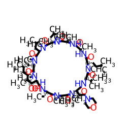 CCCC[C@@H](C)[C@@H](O)[C@H]1C(=O)N[C@@H](CC)C(=O)N(C)[C@H](C)C(=O)N(C)[C@@H]([C@@H](C)CN2CCOCC2)C(=O)N[C@@H](C(C)C)C(=O)N(C)[C@@H](CCC(C)C)C(=O)N[C@@H](C)C(=O)N[C@H](C)C(=O)N(C)[C@@H](CC(C)C)C(=O)N(C)C(CC(C)C)C(=O)N(C)[C@@H](C(C)C)C(=O)N1C